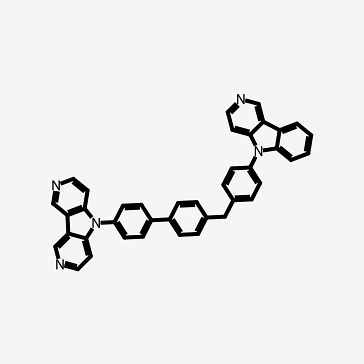 c1ccc2c(c1)c1cnccc1n2-c1ccc(Cc2ccc(-c3ccc(-n4c5ccncc5c5cnccc54)cc3)cc2)cc1